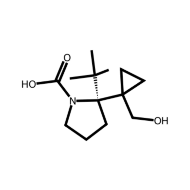 CC(C)(C)[C@]1(C2(CO)CC2)CCCN1C(=O)O